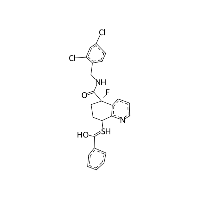 O=C(NCc1ccc(Cl)cc1Cl)[C@]1(F)CCC([SH]=C(O)c2ccccc2)c2ncccc21